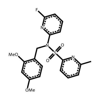 COc1ccc(CN(c2cccc(F)n2)S(=O)(=O)c2cccc(C)n2)c(OC)c1